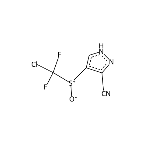 N#Cc1n[nH]cc1[S+]([O-])C(F)(F)Cl